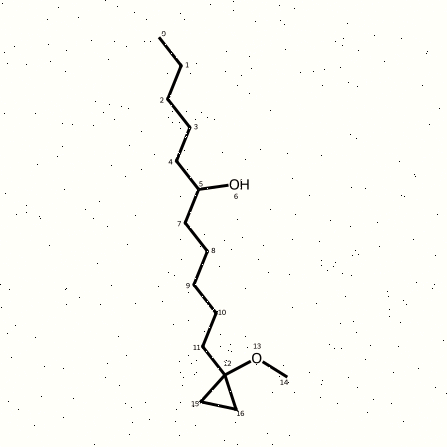 CCCCCC(O)CCCCCC1(OC)CC1